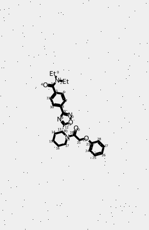 CCN(CC)C(=O)c1ccc(-c2noc([C@H]3CCCCN3C(=O)COc3ccccc3)n2)cc1